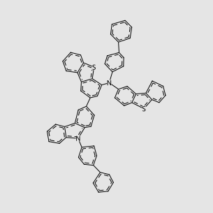 c1ccc(-c2ccc(N(c3ccc4sc5ccccc5c4c3)c3cc(-c4ccc5c(c4)c4ccccc4n5-c4ccc(-c5ccccc5)cc4)cc4c3sc3ccccc34)cc2)cc1